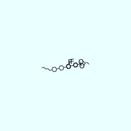 CCCCCC1CCC(C2CCC(c3ccc(-c4ccc(C5OCC(CC)CO5)cc4F)c(F)c3)CC2)CC1